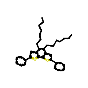 CCCCCCCc1c(CCCCCCC)c2cc(-c3ccccc3)sc2c2sc(-c3ccccc3)cc12